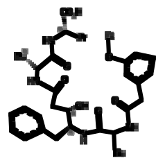 CCOc1cccc(CC(=O)NC(C(=O)N[C@@H](Cc2ccccc2)[C@@H](O)CC(=O)NC(C(=O)N[C@H](C(=O)O)C(C)C)[C@@H](C)CC)C(C)CC)c1